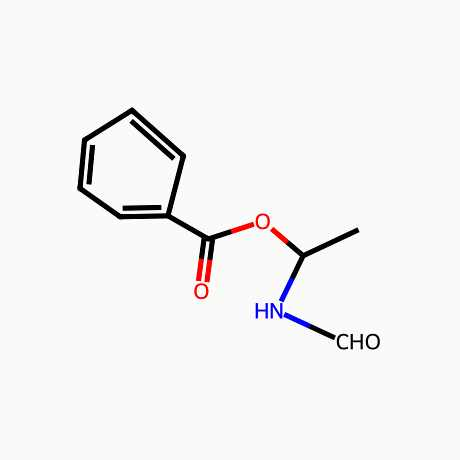 CC(NC=O)OC(=O)c1ccccc1